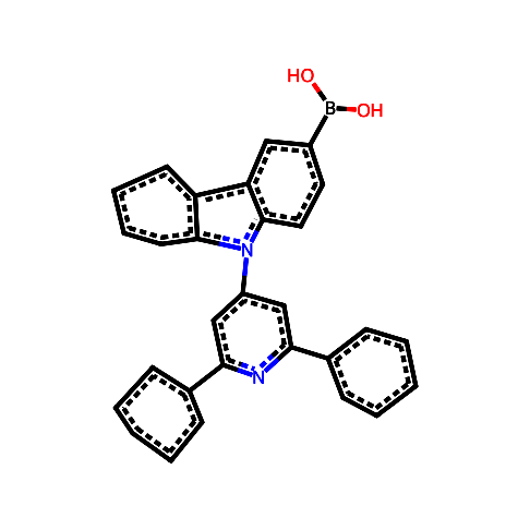 OB(O)c1ccc2c(c1)c1ccccc1n2-c1cc(-c2ccccc2)nc(-c2ccccc2)c1